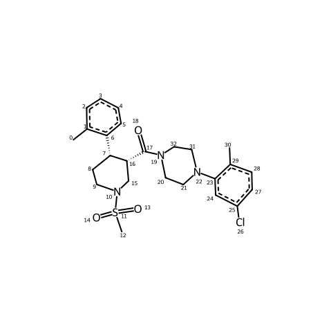 Cc1ccccc1[C@H]1CCN(S(C)(=O)=O)C[C@H]1C(=O)N1CCN(c2cc(Cl)ccc2C)CC1